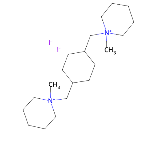 C[N+]1(CC2CCC(C[N+]3(C)CCCCC3)CC2)CCCCC1.[I-].[I-]